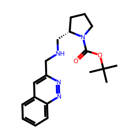 CC(C)(C)OC(=O)N1CCC[C@H]1CNCc1cc2ccccc2nn1